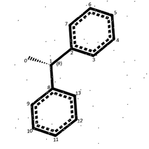 C[C@H](c1[c]cccc1)c1ccccc1